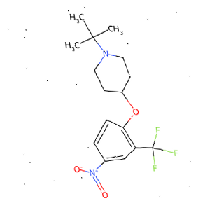 CC(C)(C)N1CCC(Oc2ccc([N+](=O)[O-])cc2C(F)(F)F)CC1